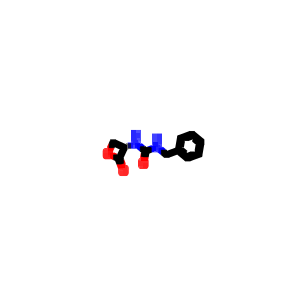 O=C(NCc1ccccc1)N[C@H]1COC1=O